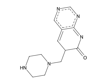 O=C1N=c2ncncc2=CC1CN1CCNCC1